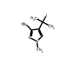 Cn1cc(C(C)(C)I)c(C(C)(C)C)n1